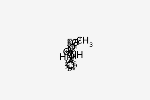 CCO[C@H]1CCN(C(=O)C2NCC(C3CCCCCCC3)N2)C[C@H]1F